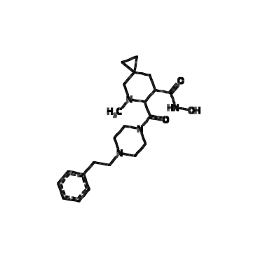 CN1CC2(CC2)CC(C(=O)NO)C1C(=O)N1CCN(CCc2ccccc2)CC1